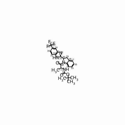 CC(NC(=O)OC(C)(C)C)C(=O)N1c2ccccc2CC1c1nc2cc(C(F)(F)F)ccc2[nH]1